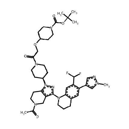 CC(=O)N1CCc2c(c(N3CCCc4cc(-c5cnn(C)c5)c(C(F)F)cc43)nn2C2CCN(C(=O)COC3CCN(C(=O)OC(C)(C)C)CC3)CC2)C1